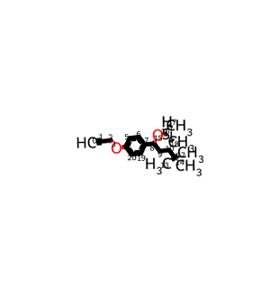 C#CCOc1ccc(C(CCC(C)(C)C)O[SiH](C)C)cc1